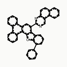 c1ccc(-c2cccc3c2oc2c3c(-c3ncc4c(ccc5ccccc54)n3)cc3c4ccccc4c4ccccc4c32)cc1